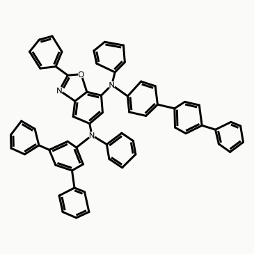 c1ccc(-c2ccc(-c3ccc(N(c4ccccc4)c4cc(N(c5ccccc5)c5cc(-c6ccccc6)cc(-c6ccccc6)c5)cc5nc(-c6ccccc6)oc45)cc3)cc2)cc1